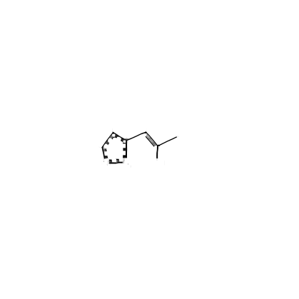 CCOC(=O)C(C)=Cc1cc[nH]n1